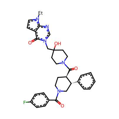 CCn1ccc2c(=O)n(CC3(O)CCN(C(=O)[C@@H]4CCN(C(=O)c5ccc(F)cc5)C[C@H]4c4ccccc4)CC3)cnc21